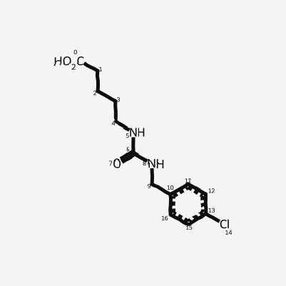 O=C(O)CCCCNC(=O)NCc1ccc(Cl)cc1